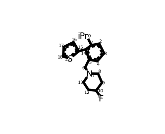 CC(C)c1cccc(CN2CCC(F)CC2)c1-c1cccs1